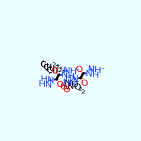 O=[N+]([O-])[O-].O=[N+]([O-])[O-].[Cu+2].[Cu+2].[Cu+2].[NH-]NC(=O)C(=O)N[NH-].[NH-]NC(=O)C(=O)N[NH-]